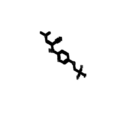 CN(C)C=C(C#N)Nc1ccc(OCC(F)(F)F)cn1